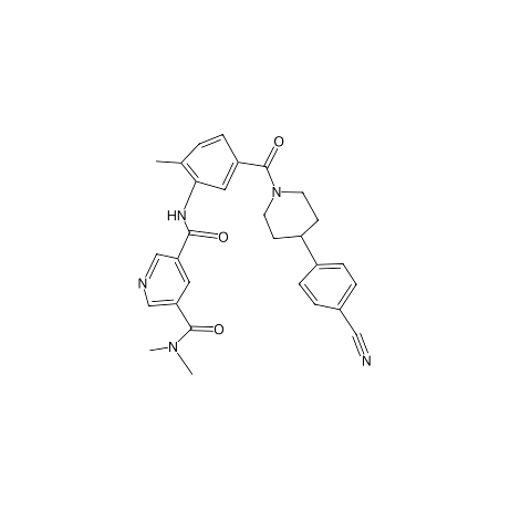 Cc1ccc(C(=O)N2CCC(c3ccc(C#N)cc3)CC2)cc1NC(=O)c1cncc(C(=O)N(C)C)c1